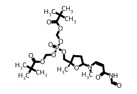 CN(/C=C\C(=O)NC=O)C1CC[C@@](C)(COP(=O)(OCOC(=O)C(C)(C)C)OCOC(=O)C(C)(C)C)O1